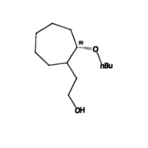 CCCCO[C@H]1CCCCCC1CCO